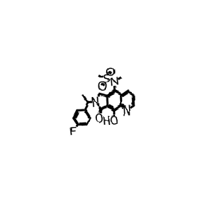 CC(c1ccc(F)cc1)N1Cc2c(c(O)c3ncccc3c2N(C)S(C)(=O)=O)C1=O